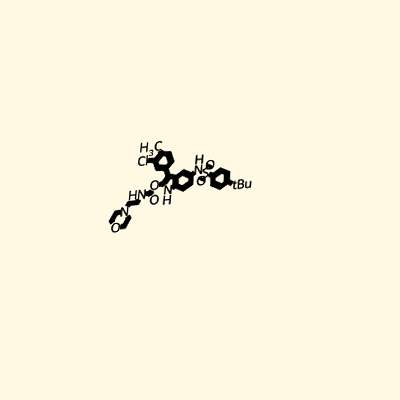 Cc1ccc(-c2c(OC(=O)NCCN3CCOCC3)[nH]c3ccc(NS(=O)(=O)c4ccc(C(C)(C)C)cc4)cc23)cc1Cl